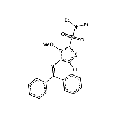 CCN(CC)S(=O)(=O)c1sc(Cl)c(N=C(c2ccccc2)c2ccccc2)c1OC